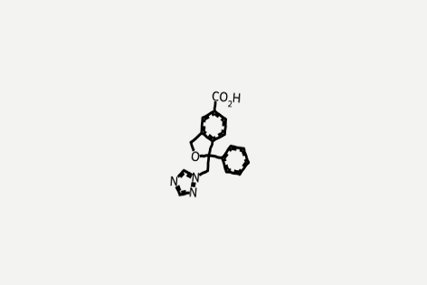 O=C(O)c1ccc2c(c1)COC2(Cn1cncn1)c1ccccc1